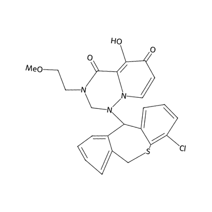 COCCN1CN(C2c3ccccc3CSc3c(Cl)cccc32)n2ccc(=O)c(O)c2C1=O